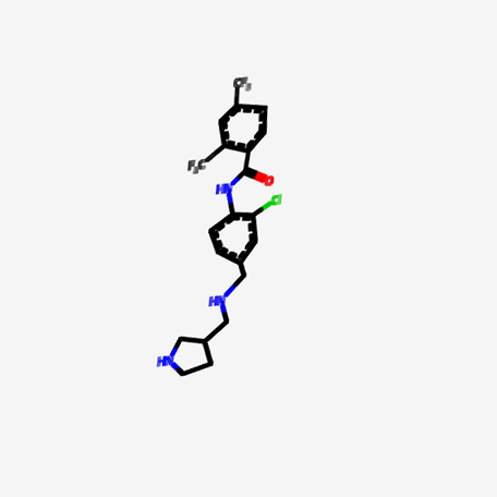 O=C(Nc1ccc(CNCC2CCNC2)cc1Cl)c1ccc(C(F)(F)F)cc1C(F)(F)F